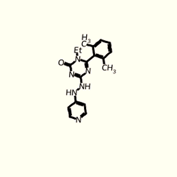 CCn1c(-c2c(C)cccc2C)nc(NNc2ccncc2)nc1=O